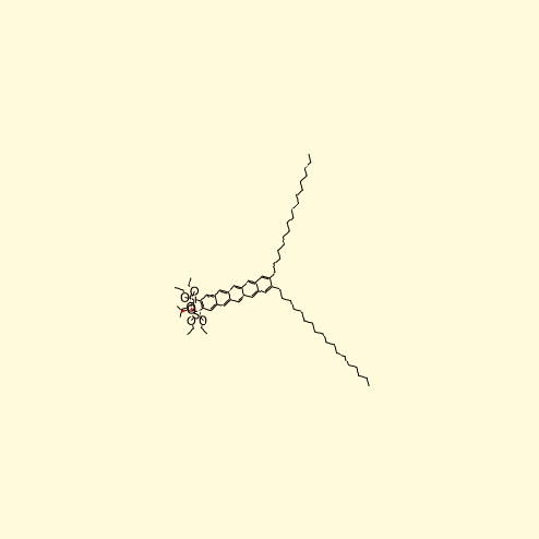 CCCCCCCCCCCCCCCCCCc1cc2cc3cc4cc5cc([Si](OCC)(OCC)OCC)c([Si](OCC)(OCC)OCC)cc5cc4cc3cc2cc1CCCCCCCCCCCCCCCCCC